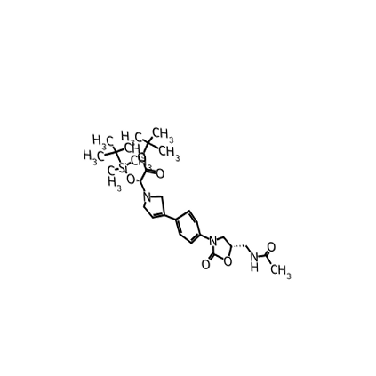 CC(=O)NC[C@H]1CN(c2ccc(C3=CCN([C@H](O[Si](C)(C)C(C)(C)C)C(=O)OC(C)(C)C)C3)cc2)C(=O)O1